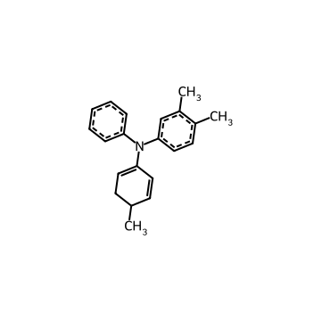 Cc1ccc(N(C2=CCC(C)C=C2)c2ccccc2)cc1C